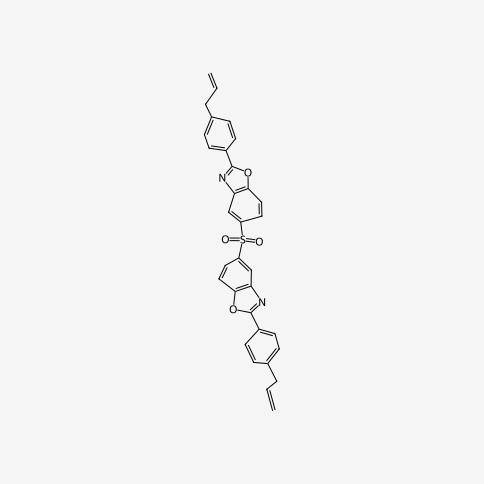 C=CCc1ccc(-c2nc3cc(S(=O)(=O)c4ccc5oc(-c6ccc(CC=C)cc6)nc5c4)ccc3o2)cc1